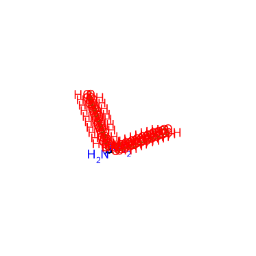 Cc1cc(N)ccc1N.O=S(=O)(O)O.O=S(=O)(O)O.O=S(=O)(O)O.O=S(=O)(O)O.O=S(=O)(O)O.O=S(=O)(O)O.O=S(=O)(O)O.O=S(=O)(O)O.O=S(=O)(O)O.O=S(=O)(O)O.O=S(=O)(O)O.O=S(=O)(O)O.O=S(=O)(O)O.O=S(=O)(O)O.O=S(=O)(O)O.O=S(=O)(O)O.O=S(=O)(O)O.O=S(=O)(O)O.O=S(=O)(O)O.O=S(=O)(O)O